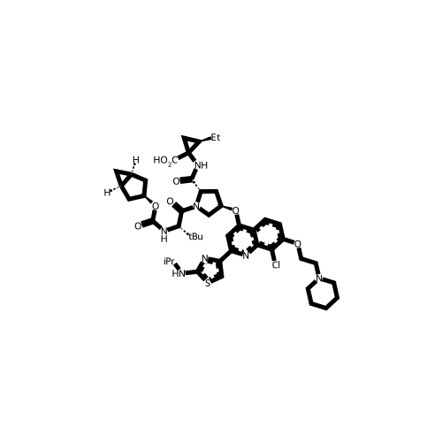 CC[C@@H]1CC1(NC(=O)[C@@H]1C[C@@H](Oc2cc(-c3csc(NC(C)C)n3)nc3c(Cl)c(OCCN4CCCCC4)ccc23)CN1C(=O)[C@@H](NC(=O)O[C@@H]1C[C@@H]2C[C@@H]2C1)C(C)(C)C)C(=O)O